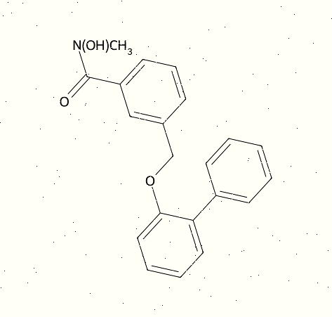 CN(O)C(=O)c1cccc(COc2ccccc2-c2ccccc2)c1